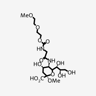 COCCOCCOC(=O)NCC(=O)N[C@H]1C([C@H](O)[C@H](O)CO)O[C@@](OC)(C(=O)O)C[C@H]1O